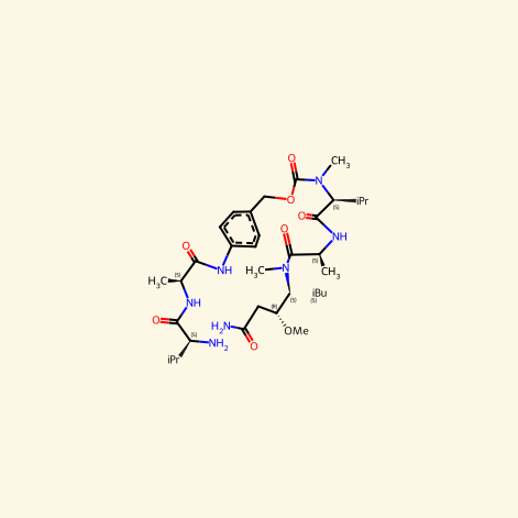 CC[C@H](C)[C@@H]([C@@H](CC(N)=O)OC)N(C)C(=O)[C@H](C)NC(=O)[C@H](C(C)C)N(C)C(=O)OCc1ccc(NC(=O)[C@H](C)NC(=O)[C@@H](N)C(C)C)cc1